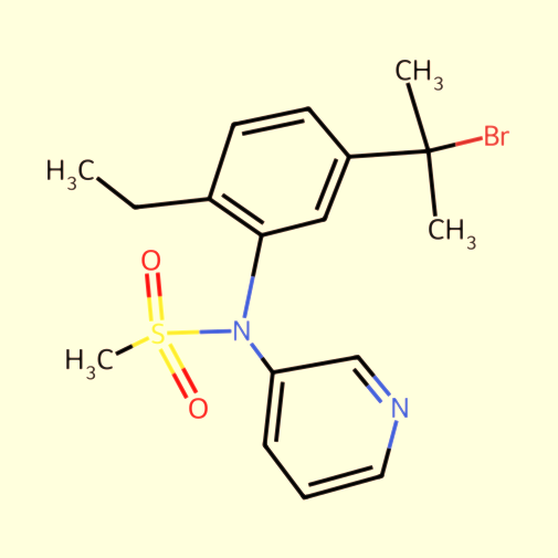 CCc1ccc(C(C)(C)Br)cc1N(c1cccnc1)S(C)(=O)=O